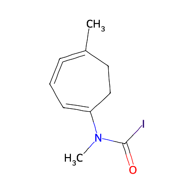 CC1=C=CC=C(N(C)C(=O)I)CC1